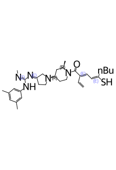 C=C/C(=C\C=C(\S)CCCC)C(=O)N1CC[C@@H](N2CC/C(=N\C(=N/C)Nc3cc(C)cc(C)c3)C2)C[C@H]1C